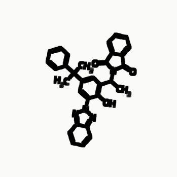 CC(c1cc(C(C)(C)c2ccccc2)cc(-n2nc3ccccc3n2)c1O)N1C(=O)c2ccccc2C1=O